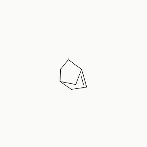 [CH]1CC2CC=C1C2